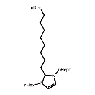 CCCCCCCCCCCCCCCCCCC1N(CCCCCC)C=CN1CCCCCCC